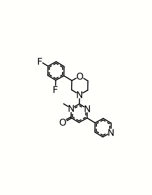 Cn1c(N2CCOC(c3ccc(F)cc3F)C2)nc(-c2ccncc2)cc1=O